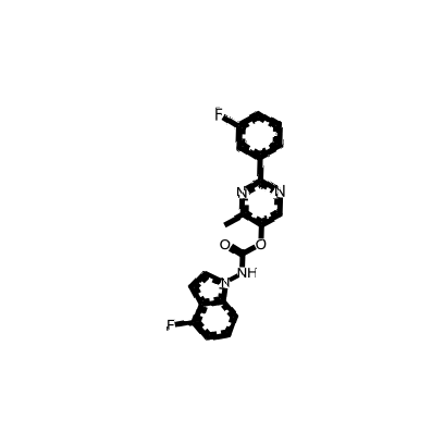 Cc1nc(-c2cccc(F)c2)ncc1OC(=O)Nn1ccc2c(F)cccc21